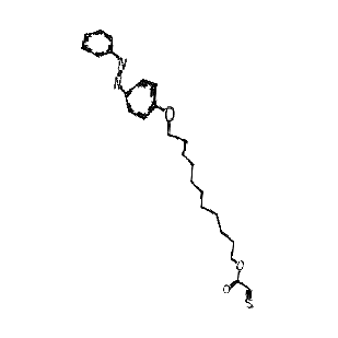 O=C(C=S)OCCCCCCCCCCCOc1ccc(N=Nc2ccccc2)cc1